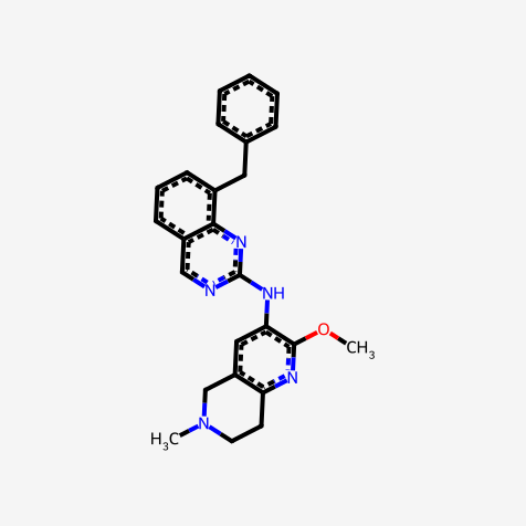 COc1nc2c(cc1Nc1ncc3cccc(Cc4ccccc4)c3n1)CN(C)CC2